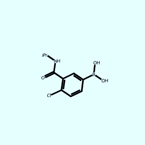 CC(C)NC(=O)c1cc(B(O)O)ccc1Cl